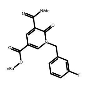 CCCCOC(=O)c1cc(C(=O)NC)c(=O)n(Cc2cccc(F)c2)c1